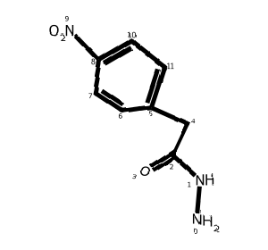 NNC(=O)Cc1ccc([N+](=O)[O-])cc1